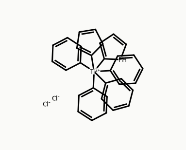 C1=CC[C]([Ti+2]([c]2ccccc2)([c]2ccccc2)([c]2ccccc2)([c]2ccccc2)[c]2ccc[pH]2)=C1.[Cl-].[Cl-]